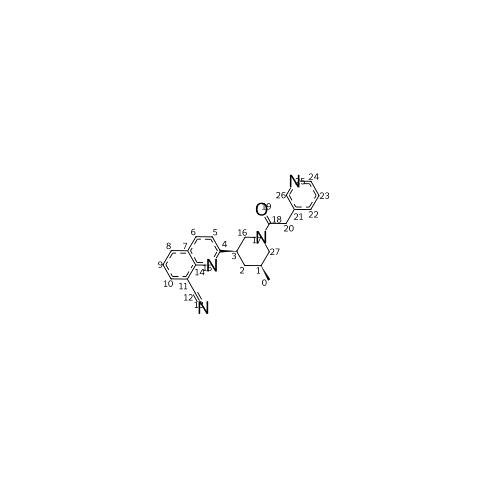 C[C@H]1C[C@@H](c2ccc3cccc(C#N)c3n2)CN(C(=O)Cc2cccnc2)C1